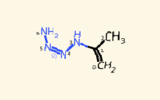 C=C(C)N/N=N\N